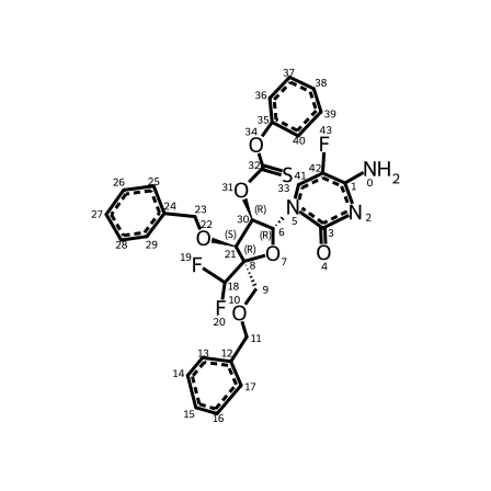 Nc1nc(=O)n([C@@H]2O[C@@](COCc3ccccc3)(C(F)F)[C@@H](OCc3ccccc3)[C@H]2OC(=S)Oc2ccccc2)cc1F